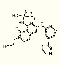 CC(C)(C)Nc1nc(Nc2cc(-c3cccnc3)ccn2)cc2ccn(CCO)c(=O)c12